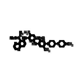 COc1nc(N2CCC(N3CCN(C)CC3)CC2)c(C)cc1Nc1ncc(P)c(Nc2ccc3nccnc3c2N(C)SC)n1